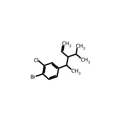 C=CC(C(C)C)C(C)c1ccc(Br)c(Cl)c1